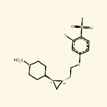 CS(=O)(=O)c1ccc(OCC[C@@H]2C[C@H]2C2CCN(C(=O)O)CC2)cc1F